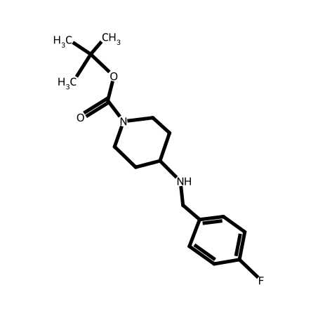 CC(C)(C)OC(=O)N1CCC(NCc2ccc(F)cc2)CC1